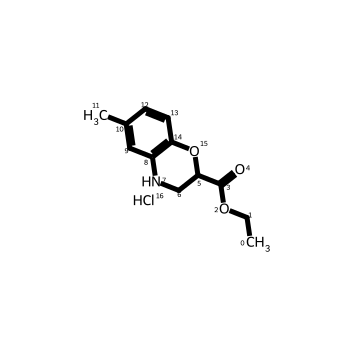 CCOC(=O)C1CNc2cc(C)ccc2O1.Cl